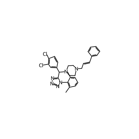 Cc1cccc(C)c1-n1nnnc1C(c1ccc(Cl)c(Cl)c1)N1CCN(C/C=C/c2ccccc2)CC1